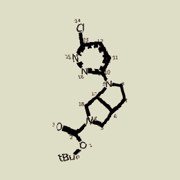 CC(C)(C)OC(=O)N1CC2CCN(c3ccc(Cl)nn3)C2C1